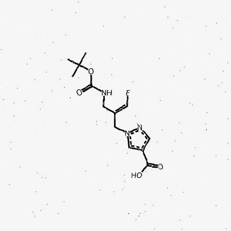 CC(C)(C)OC(=O)NCC(=CF)Cn1cc(C(=O)O)cn1